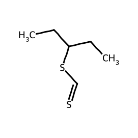 CCC(CC)SC=S